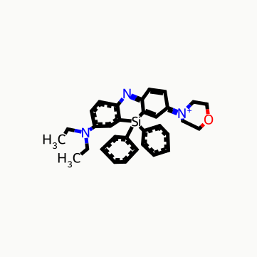 CCN(CC)c1ccc2c(c1)[Si](c1ccccc1)(c1ccccc1)C1=CC(=[N+]3CCOCC3)C=CC1=N2